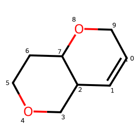 [C]1=CC2COCCC2OC1